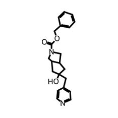 O=C(OCc1ccccc1)N1CC2CC(O)(Cc3ccncc3)CC2C1